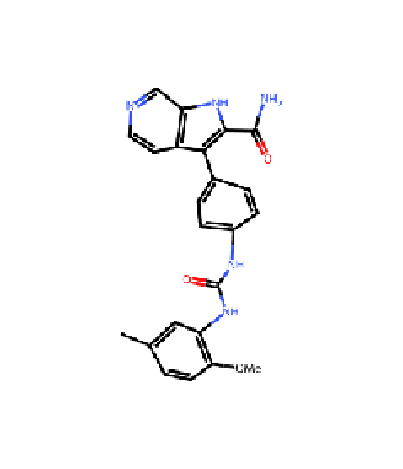 COc1ccc(C)cc1NC(=O)Nc1ccc(-c2c(C(N)=O)[nH]c3cnccc23)cc1